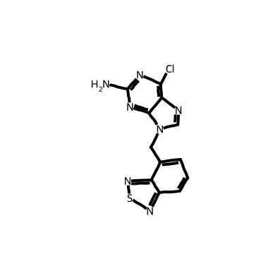 Nc1nc(Cl)c2ncn(Cc3cccc4nsnc34)c2n1